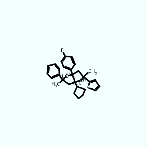 CC(C)(CC(C)(C1CCCC1)C(C)(CC(C)(C)c1cccs1)c1ccc(F)cc1)c1ccccc1